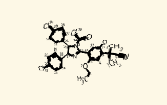 CCOc1cc(C(C)(C)C#N)c(Cl)cc1C1=N[C@@H](c2ccc(Cl)cc2)[C@@H](c2ccc(Cl)cc2)N1C(=O)Cl